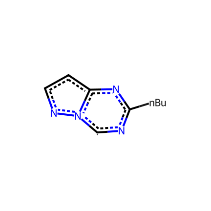 CCCCc1n[c]n2nccc2n1